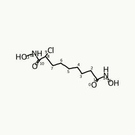 O=C(CCCCCCC(Cl)C(=O)NO)NO